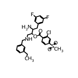 CCc1cccc(CNCC(OC(=O)c2ccc(S(C)(=O)=O)cc2Cl)C(N)Cc2cc(F)cc(F)c2)c1